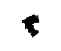 C#CCOc1cc(-n2nc3n(c2=O)CCCC3)c(Cl)cc1Cl.COc1c(Cl)ccc(Cl)c1C(=O)O.O=C(Nc1nc(OC(F)F)cc(OC(F)F)n1)NS(=O)(=O)c1ccccc1C(=O)O.O=C(O)CNCP(=O)(O)O